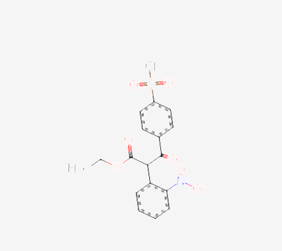 CCOC(=O)C(C(=O)c1ccc(S(C)(=O)=O)cc1)c1ccccc1[N+](=O)[O-]